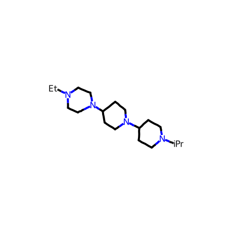 CCN1CCN(C2CCN(C3CCN(C(C)C)CC3)CC2)CC1